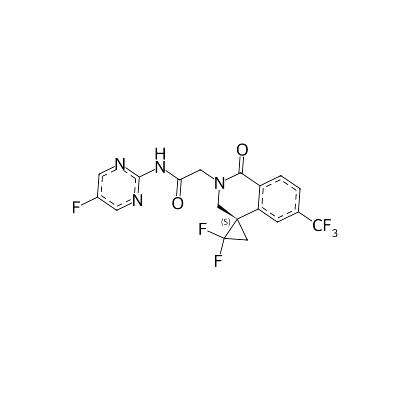 O=C(CN1C[C@]2(CC2(F)F)c2cc(C(F)(F)F)ccc2C1=O)Nc1ncc(F)cn1